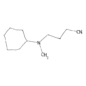 CN(CCCC#N)C1CCCCC1